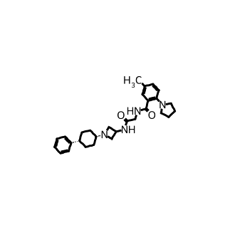 Cc1ccc(N2CCCC2)c(C(=O)NCC(=O)NC2CN([C@H]3CC[C@@H](c4ccccc4)CC3)C2)c1